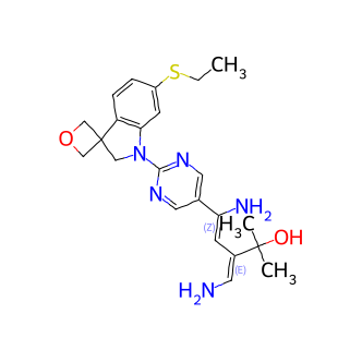 CCSc1ccc2c(c1)N(c1ncc(/C(N)=C/C(=C\N)C(C)(C)O)cn1)CC21COC1